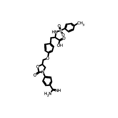 Cc1ccc(S(=O)(=O)NC(Cc2ccc(OCC3CN(c4ccc(C(=N)N)cc4)C(=O)O3)cc2)C(=O)O)cc1